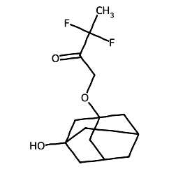 CC(F)(F)C(=O)COC12CC3CC(CC(O)(C3)C1)C2